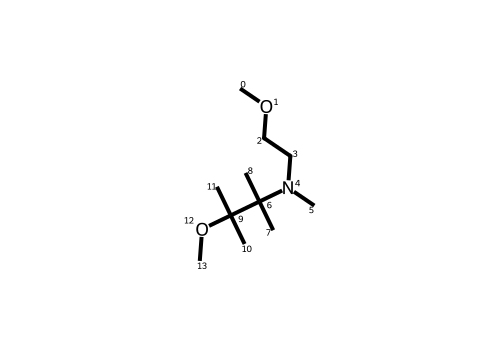 COCCN(C)C(C)(C)C(C)(C)OC